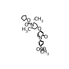 CC[C@@H]1C[C@H](Oc2ccn(-c3ccc(S(C)(=O)=O)cc3)c(=O)c2)C[C@@H](C)N1C(=O)OC1CCCC1